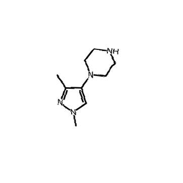 Cc1nn(C)cc1N1CCNCC1